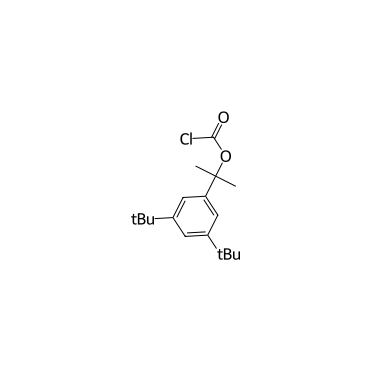 CC(C)(C)c1cc(C(C)(C)C)cc(C(C)(C)OC(=O)Cl)c1